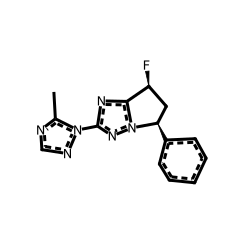 Cc1ncnn1-c1nc2n(n1)[C@H](c1ccccc1)C[C@@H]2F